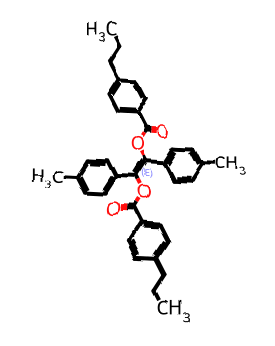 CCCc1ccc(C(=O)O/C(=C(/OC(=O)c2ccc(CCC)cc2)c2ccc(C)cc2)c2ccc(C)cc2)cc1